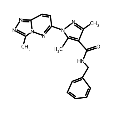 Cc1nn(-c2ccc3nnc(C)n3n2)c(C)c1C(=O)NCc1ccccc1